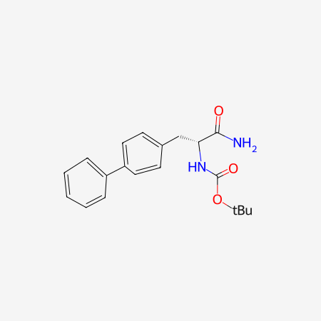 CC(C)(C)OC(=O)N[C@H](Cc1ccc(-c2ccccc2)cc1)C(N)=O